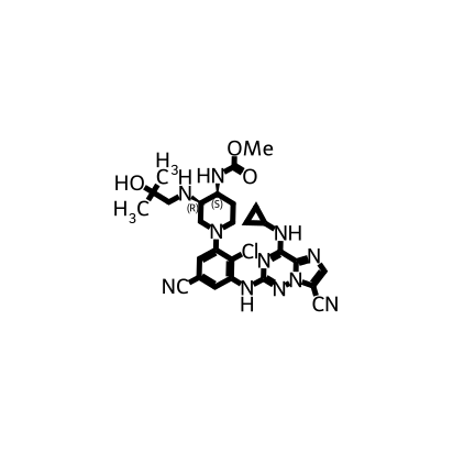 COC(=O)N[C@H]1CCN(c2cc(C#N)cc(Nc3nc(NC4CC4)c4ncc(C#N)n4n3)c2Cl)C[C@H]1NCC(C)(C)O